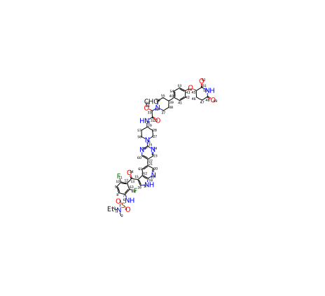 CCN(C)S(=O)(=O)Nc1ccc(F)c(C(=O)c2c[nH]c3ncc(-c4cnc(N5CCC(NC(=O)C(OC=O)N6CCC(c7ccc(OC8CCC(=O)NC8=O)cc7)CC6)CC5)nc4)cc23)c1F